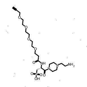 C#CCOCCOCCOCCOCCC(=O)N[C@@H](CS(=O)(=O)O)C(=O)N1CCN(CCN)CC1